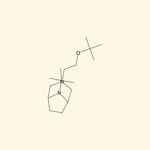 CC(C)(C)OCCN1CC2CCC(C1)N2C(C)(C)C